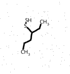 CCCC(CC)SS